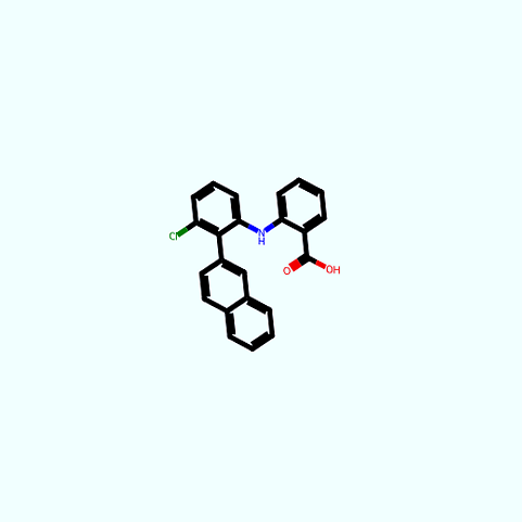 O=C(O)c1ccccc1Nc1cccc(Cl)c1-c1ccc2ccccc2c1